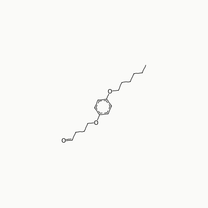 CCCCCCOc1ccc(OCCCC=O)cc1